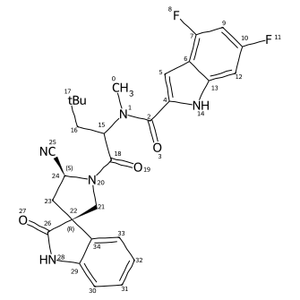 CN(C(=O)c1cc2c(F)cc(F)cc2[nH]1)C(CC(C)(C)C)C(=O)N1C[C@]2(C[C@H]1C#N)C(=O)Nc1ccccc12